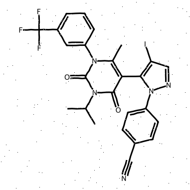 Cc1c(-c2c(I)cnn2-c2ccc(C#N)cc2)c(=O)n(C(C)C)c(=O)n1-c1cccc(C(F)(F)F)c1